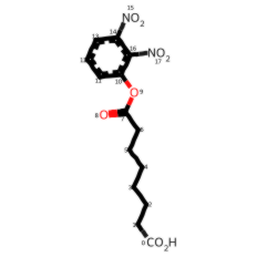 O=C(O)CCCCCCC(=O)Oc1cccc([N+](=O)[O-])c1[N+](=O)[O-]